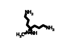 CN1NC1(CCCN)CCCN